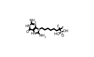 Nc1nc2c(c(=O)[nH]1)NC(N)N2CCCCCCC(F)(F)P(=O)(O)O